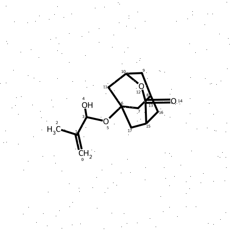 C=C(C)C(O)OC12CC3CC(C1)OC(=O)C(C3)C2